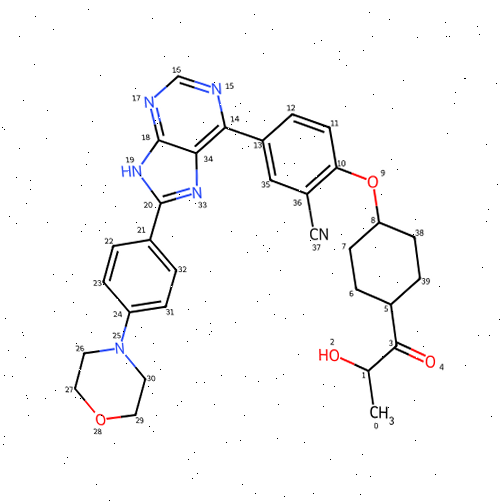 CC(O)C(=O)C1CCC(Oc2ccc(-c3ncnc4[nH]c(-c5ccc(N6CCOCC6)cc5)nc34)cc2C#N)CC1